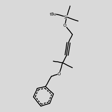 CC(C)(C#CCO[Si](C)(C)C(C)(C)C)OCc1ccccc1